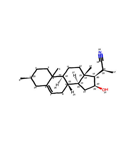 C[C@H]1CCC2(C)C(=CC[C@@H]3[C@@H]2CC[C@]2(C)[C@@H]([C@H](C)C#N)[C@@H](O)C[C@@H]32)C1